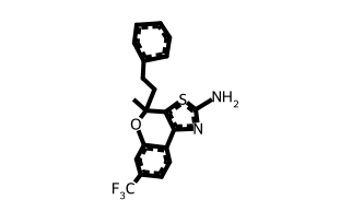 CC1(CCc2ccccc2)Oc2cc(C(F)(F)F)ccc2-c2nc(N)sc21